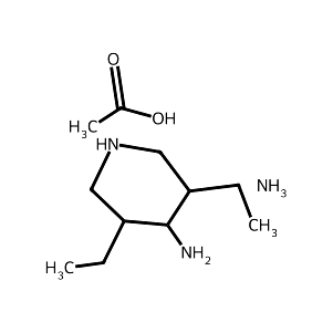 CC(=O)O.CCC1CNCC(CC)C1N.N